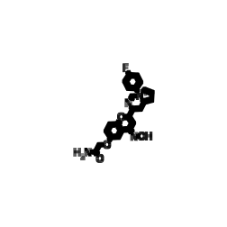 NC(=O)COc1ccc2oc(C3=CC4=CC=C[N+]4(c4ccc(F)cc4)C=N3)cc(=NO)c2c1